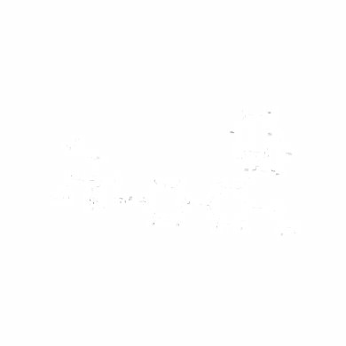 COc1ccc(-c2ccc(NCC(N)(CO)CO)cc2)cc1C1C2CC3CC(C2)CC1C3